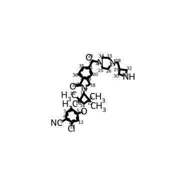 CC1(C)[C@H](Oc2ccc(C#N)c(Cl)c2)C(C)(C)[C@H]1N1Cc2cc(C(=O)N3CCN(CC4CNC4)CC3)ccc2C1=O